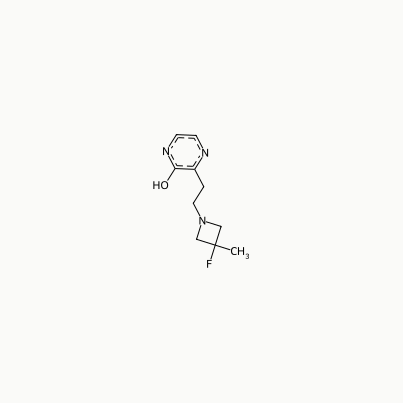 CC1(F)CN(CCc2nccnc2O)C1